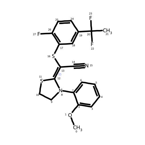 COc1ccccc1N1CCS/C1=C(/C#N)Sc1cc(C(C)(F)F)ccc1F